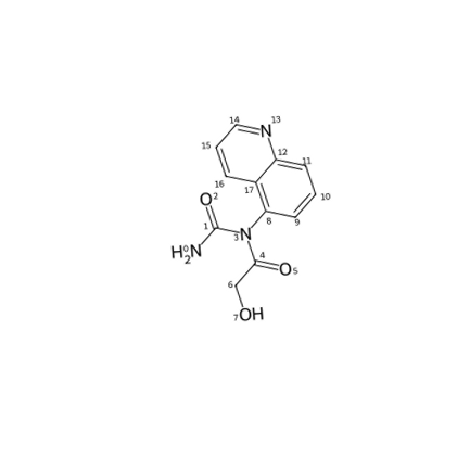 NC(=O)N(C(=O)CO)c1cccc2ncccc12